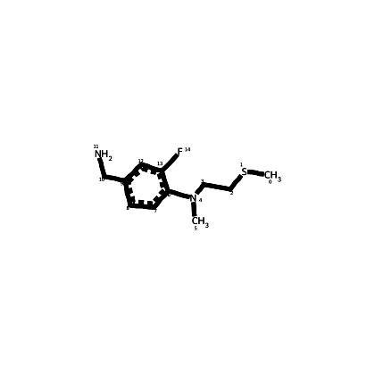 CSCCN(C)c1ccc(CN)cc1F